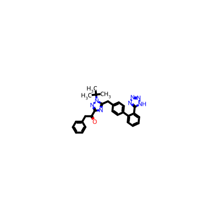 CC(C)(C)n1nc(C(=O)Cc2ccccc2)nc1Cc1ccc(-c2ccccc2-c2nnn[nH]2)cc1